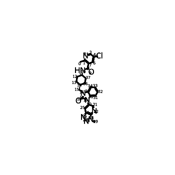 Cc1ncc(Cl)cc1C(=O)N[C@H]1CC[C@H](Cn2c(=O)n(-c3cnc4c(c3)nnn4C)c3ccccc32)CC1